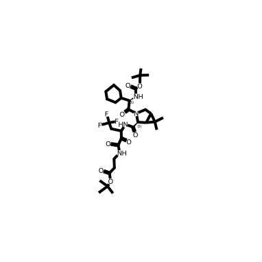 CC(C)(C)OC(=O)CCNC(=O)C(=O)C(CC(F)(F)F)NC(=O)[C@@H]1C2C(CN1C(=O)[C@@H](NC(=O)OC(C)(C)C)C1CCCCC1)C2(C)C